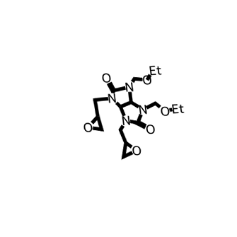 CCOCN1C(=O)N(CC2CO2)C2C1N(COCC)C(=O)N2CC1CO1